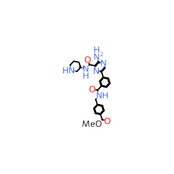 COC(=O)c1ccc(CNC(=O)c2cccc(-c3cnc(N)c(C(=O)N[C@H]4CCCNC4)n3)c2)cc1